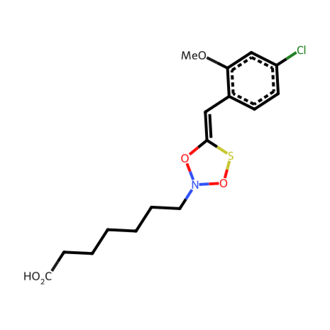 COc1cc(Cl)ccc1/C=C1/ON(CCCCCCC(=O)O)OS1